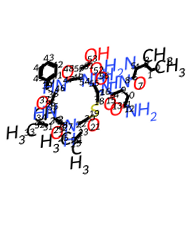 CCC(C)[C@H](N)C(=O)N[C@@H](CC(N)=O)C(=O)N[C@H]1CSC(=O)[C@H](CC(C)C)NC(=O)[C@H](CC(C)C)NC(=O)[C@H](Cc2ccccc2)NC(=O)[C@H](CC(=O)O)NC1=O